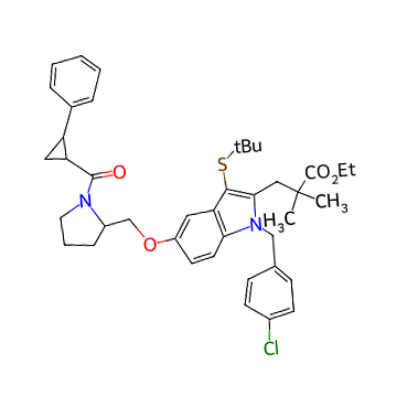 CCOC(=O)C(C)(C)Cc1c(SC(C)(C)C)c2cc(OCC3CCCN3C(=O)C3CC3c3ccccc3)ccc2n1Cc1ccc(Cl)cc1